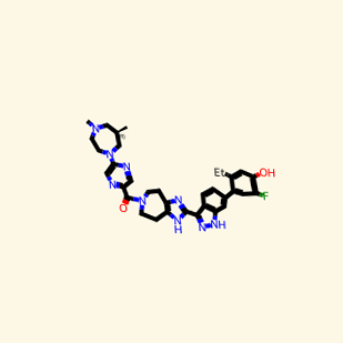 CCc1cc(O)c(F)cc1-c1ccc2c(-c3nc4c([nH]3)CCN(C(=O)c3cnc(N5CCN(C)C[C@@H](C)C5)cn3)CC4)n[nH]c2c1